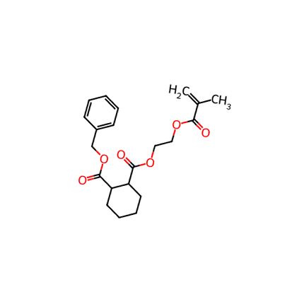 C=C(C)C(=O)OCCOC(=O)C1CCCCC1C(=O)OCc1ccccc1